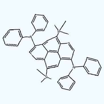 C[Si](C)(C)c1cc2c(N(c3ccccc3)c3ccccc3)ccc3c([Si](C)(C)C)cc4c(N(c5ccccc5)c5ccccc5)ccc1c4c23